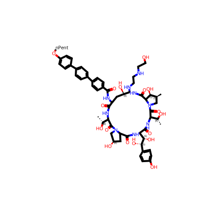 CCCCCOc1ccc(-c2ccc(-c3ccc(C(=O)NC4C[C@@H](O)C(NCCNCCO)NC(=O)C5[C@@H](O)[C@@H](C)CN5C(=O)C([C@@H](C)O)NC(=O)C([C@H](O)[C@@H](O)c5ccc(O)cc5)NC(=O)C5C[C@@H](O)CN5C(=O)C([C@@H](C)O)NC4=O)cc3)cc2)cc1